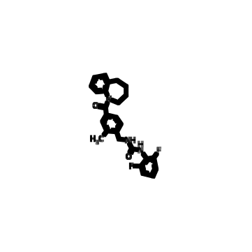 Cc1cc(C(=O)N2CCCCc3ccccc32)ccc1CNC(=O)Nc1c(F)cccc1F